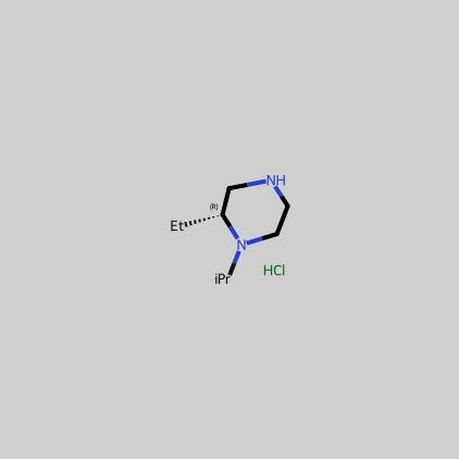 CC[C@@H]1CNCCN1C(C)C.Cl